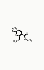 CCc1nc(OC)ccc1C(=O)OC